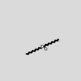 CCCCCCCC=CC(=O)OCCCCCCCCCC